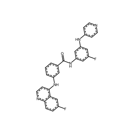 O=C(Nc1cc(F)cc(Nc2ccncc2)c1)c1cccc(Nc2ccnc3ccc(F)cc23)c1